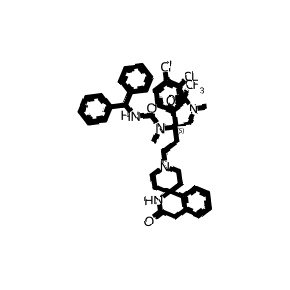 CN(C[C@](CCN1CCC2(CC1)NC(=O)Cc1ccccc12)(c1ccc(Cl)c(Cl)c1)N(C)C(=O)NC(c1ccccc1)c1ccccc1)C(=O)C(F)(F)F